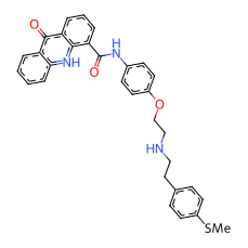 CSc1ccc(CCNCCOc2ccc(NC(=O)c3cccc4c(=O)c5ccccc5[nH]c34)cc2)cc1